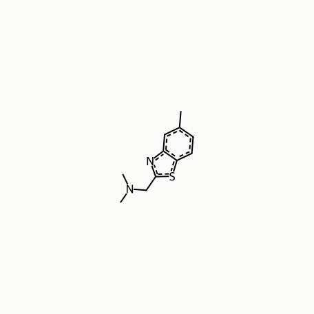 Cc1ccc2sc(CN(C)C)nc2c1